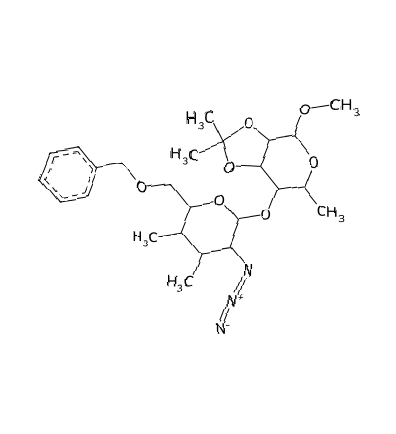 COC1OC(C)C(OC2OC(COCc3ccccc3)C(C)C(C)C2N=[N+]=[N-])C2OC(C)(C)OC12